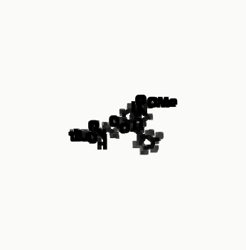 COC(=O)N1CC[C@@H]2[C@H]1CCC[C@]2(C#Cc1cccc(C)c1)OC(=O)CCNC(=O)OC(C)(C)C